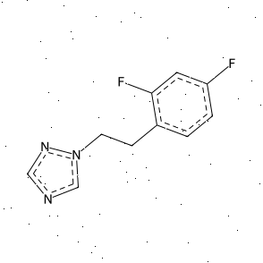 Fc1ccc(CCn2cncn2)c(F)c1